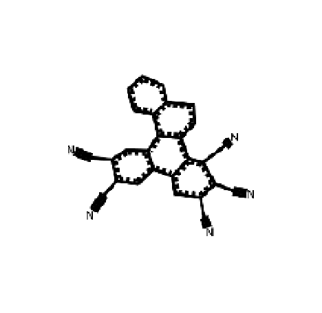 N#Cc1cc2c3cc(C#N)c(C#N)c(C#N)c3c3ccc4ccccc4c3c2cc1C#N